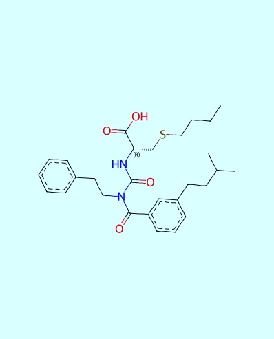 CCCCSC[C@H](NC(=O)N(CCc1ccccc1)C(=O)c1cccc(CCC(C)C)c1)C(=O)O